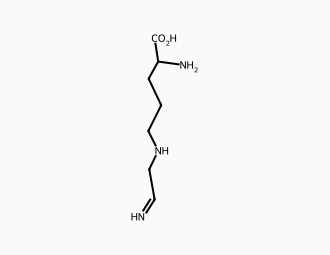 N=CCNCCCC(N)C(=O)O